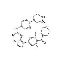 C[C@H]1CN(c2ccc(Nc3ncc4ccn(-c5cc(F)c(C(=O)N6CCOCC6)c(F)c5)c4n3)cn2)CCN1